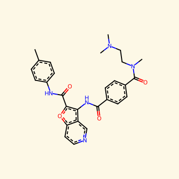 Cc1ccc(NC(=O)c2oc3ccncc3c2NC(=O)c2ccc(C(=O)N(C)CCN(C)C)cc2)cc1